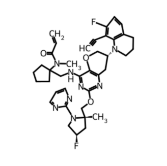 C#Cc1c(F)ccc2c1N([C@H]1COc3c(nc(OC[C@]4(C)C[C@@H](F)CN4c4ncccn4)nc3NCC3(N(C)C(=O)C=C)CCCC3)C1)CCC2